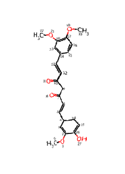 COC1=CC(/C=C/C(=O)CC(=O)/C=C/c2ccc(OC)c(OC)c2)CC=C1O